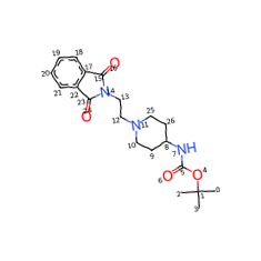 CC(C)(C)OC(=O)NC1CCN(CCN2C(=O)c3ccccc3C2=O)CC1